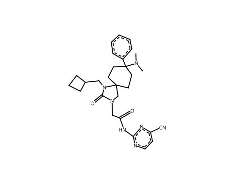 CN(C)C1(c2ccccc2)CCC2(CC1)CN(CC(=O)Nc1nccc(C#N)n1)C(=O)N2CC1CCC1